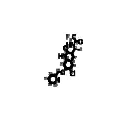 C[C@H](NC(=O)C(F)(F)F)c1cc2cc(Cl)c(OCc3ccccn3)cc2[nH]c1=O